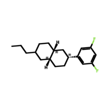 CCCC1CC[C@@H]2C[C@H](c3cc(F)cc(F)c3)CC[C@@H]2C1